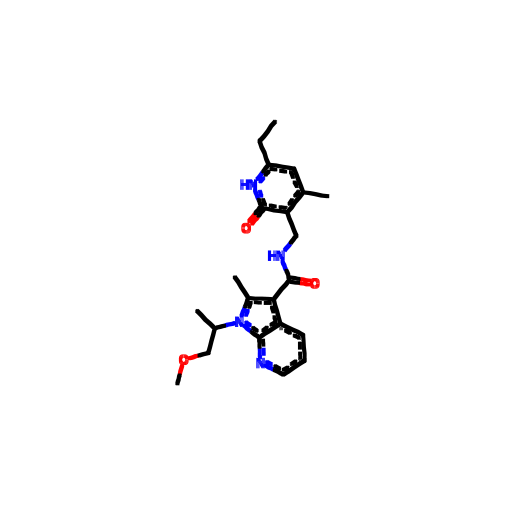 CCc1cc(C)c(CNC(=O)c2c(C)n(C(C)COC)c3ncccc23)c(=O)[nH]1